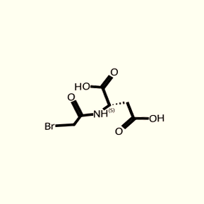 O=C(O)C[C@H](NC(=O)CBr)C(=O)O